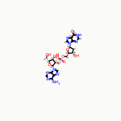 Nc1ncnc2c1ncn2[C@@H]1O[C@H](CO)[C@@H](O)[C@H]1OP(=O)(O)OC[C@H]1O[C@@H](n2cnc3c(=O)[nH]cnc32)C[C@@H]1O